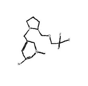 CN1C=C(Br)C=C(CN2CCC[C@H]2COCC(F)(F)F)C1